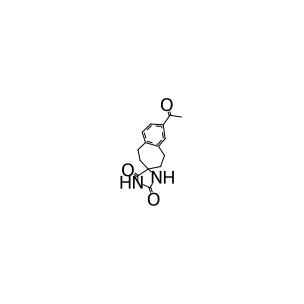 CC(=O)c1ccc2c(c1)CCC1(CC2)NC(=O)NC1=O